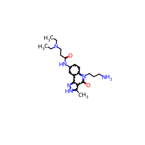 CCN(CC)CCC(=O)Nc1ccc2c(c1)c1n[nH]c(C)c1c(=O)n2CCCN